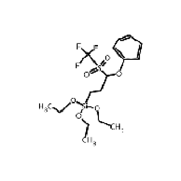 CCO[Si](CCC(Oc1ccccc1)S(=O)(=O)C(F)(F)F)(OCC)OCC